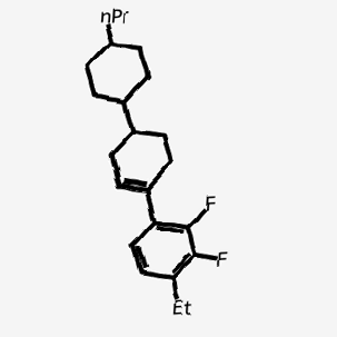 CCCC1CCC(C2CC=C(c3ccc(CC)c(F)c3F)CC2)CC1